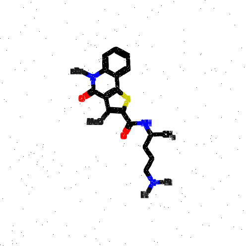 CCCCn1c(=O)c2c(OC)c(C(=O)NC(C)CCCN(CC)CC)sc2c2ccccc21